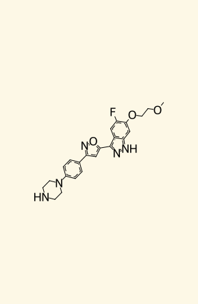 COCCOc1cc2[nH]nc(-c3cc(-c4ccc(N5CCNCC5)cc4)no3)c2cc1F